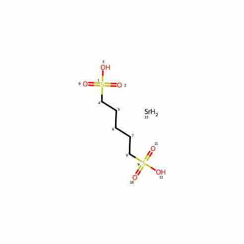 O=S(=O)(O)CCCCCS(=O)(=O)O.[SrH2]